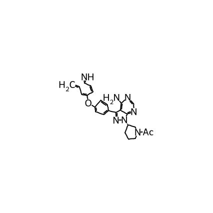 C=C/C=C(\C=C/C=N)Oc1ccc(-c2nn([C@H]3CCCN(C(C)=O)C3)c3ncnc(N)c23)cc1